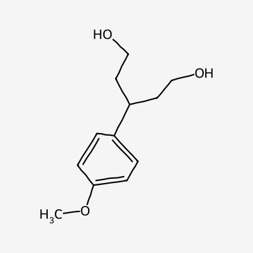 COc1ccc(C(CCO)CCO)cc1